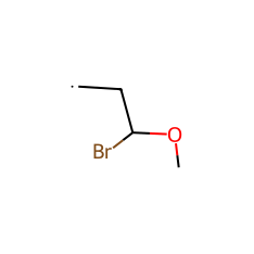 [CH2]CC(Br)OC